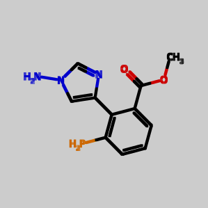 COC(=O)c1cccc(P)c1-c1cn(N)cn1